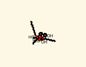 CCCCCCCCCCCCC(C(=O)O)C(CCCCC)C(CCCCCCCCCCCC)(C(=O)O)C(C)c1cccc(-c2ccc(O)cc2)c1-c1ccc(O)cc1